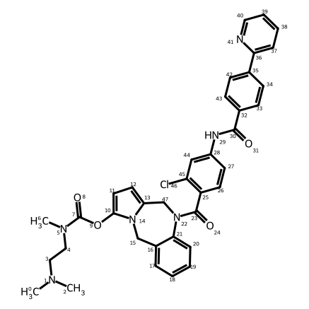 CN(C)CCN(C)C(=O)Oc1ccc2n1Cc1ccccc1N(C(=O)c1ccc(NC(=O)c3ccc(-c4ccccn4)cc3)cc1Cl)C2